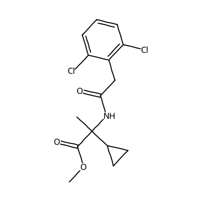 COC(=O)C(C)(NC(=O)Cc1c(Cl)cccc1Cl)C1CC1